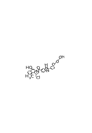 Cc1cccc2c(O)cc3c(c12)[C@H](CCl)CN3C(=O)c1ccc2nc(-c3cccc(OCCOCCO)c3)[nH]c2c1